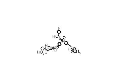 CS(=O)(=O)NCC#Cc1ccc(N2C(=O)[C@H](SC[C@H](O)c3ccc(F)cc3)[C@H]2c2ccc(OCC(=O)NCC(=O)C[C@@H](NC3CCCCC3)C(=O)O)cc2)cc1